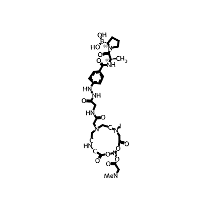 CNCC(=O)ON1OC(=O)CNCCN(CC(=O)NCC(=O)NNc2ccc(C(=O)N[C@H](C)C(=O)N3CCC[C@H]3B(O)O)cc2)CCN(I)CC(=O)O1